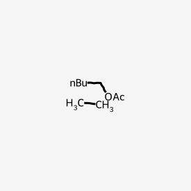 CC.CCCCCOC(C)=O